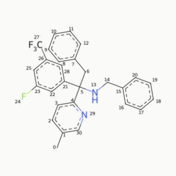 Cc1ccc(C(Cc2ccccc2)(NCc2ccccc2)c2cc(F)cc(C(F)(F)F)c2)nc1